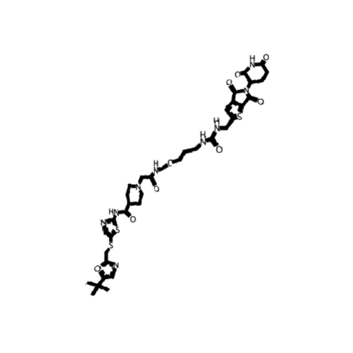 CC(C)(C)c1cnc(CSc2cnc(NC(=O)C3CCN(CC(=O)NCCCCCNC(=O)NCc4cc5c(s4)C(=O)N(C4CCC(=O)NC4=O)C5=O)CC3)s2)o1